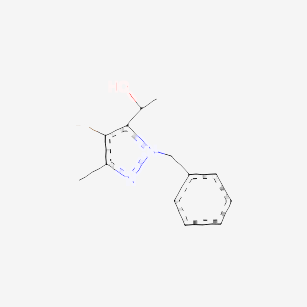 Cc1nn(Cc2ccccc2)c(C(C)O)c1Br